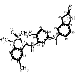 Cc1ccc(N(C)S(C)(=O)=O)c(CNc2nc(Nc3ccc4c(c3)CC(=O)N4)ncc2C(F)(F)F)c1